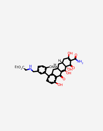 CCOC(=O)CNCc1ccc(OC)c(-c2ccc(O)c3c2C[C@H]2C[C@H]4CC(O)=C(C(N)=O)C(=O)[C@@]4(O)C(O)=C2C3=O)c1